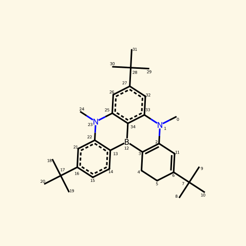 CN1C2=C(CCC(C(C)(C)C)=C2)B2c3ccc(C(C)(C)C)cc3N(C)c3cc(C(C)(C)C)cc1c32